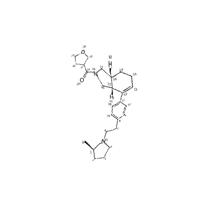 C[C@@H]1CCCN1CCc1ccc(C2=CCC[C@H]3CN(C(=O)C4CCOC4)C[C@@H]23)cc1